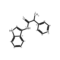 CC(C(=O)Nc1c[nH]c2ccccc12)c1ccncc1